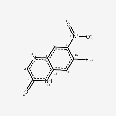 O=c1cnc2cc([N+](=O)[O-])c(F)cc2[nH]1